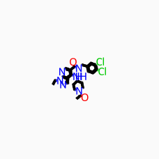 CCn1ncc2c(NC3CCN(C(C)=O)CC3)c(C(=O)NCc3ccc(Cl)c(Cl)c3)cnc21